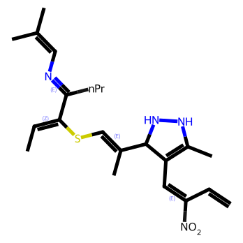 C=C/C(=C\C1=C(C)NNC1/C(C)=C/SC(=C\C)/C(CCC)=N/C=C(C)C)[N+](=O)[O-]